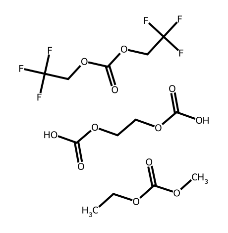 CCOC(=O)OC.O=C(O)OCCOC(=O)O.O=C(OCC(F)(F)F)OCC(F)(F)F